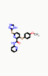 COc1ccc(Sc2ccc(Sc3nnc[nH]3)nc2C(=O)Nc2ccccn2)cc1